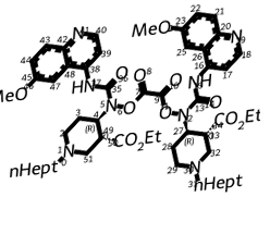 CCCCCCCN1CC[C@@H](N(OC(=O)C(=O)ON(C(=O)Nc2ccnc3ccc(OC)cc23)[C@@H]2CCN(CCCCCCC)C[C@H]2C(=O)OCC)C(=O)Nc2ccnc3ccc(OC)cc23)[C@H](C(=O)OCC)C1